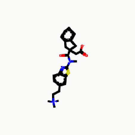 CN(C(=O)C1(CC(=O)[O-])Cc2ccccc2C1)c1nc2ccc(CC[N+](C)(C)C)cc2s1